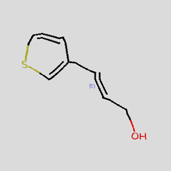 OC/C=C/c1ccsc1